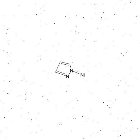 [Ni][n]1cccn1